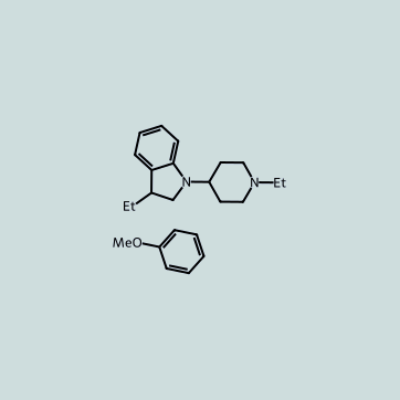 CCC1CN(C2CCN(CC)CC2)c2ccccc21.COc1ccccc1